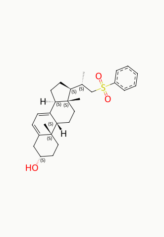 C[C@H](CS(=O)(=O)c1ccccc1)[C@@H]1CC[C@@H]2C3=CC=C4C[C@@H](O)CC[C@@]4(C)[C@H]3CC[C@]21C